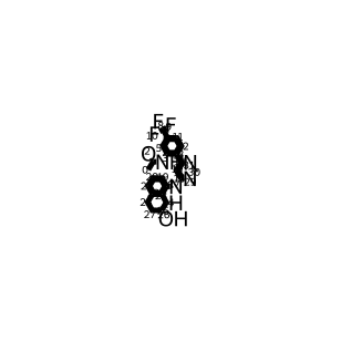 CC(=O)Nc1cc(C(F)(F)F)ccc1-c1cc(Nc2cccc3c2CC(O)CC3)ncn1